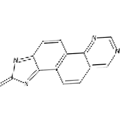 O=C1N=c2ccc3c(ccc4cncnc43)c2=N1